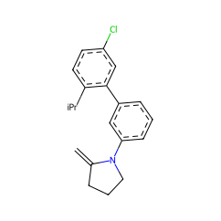 C=C1CCCN1c1cccc(-c2cc(Cl)ccc2C(C)C)c1